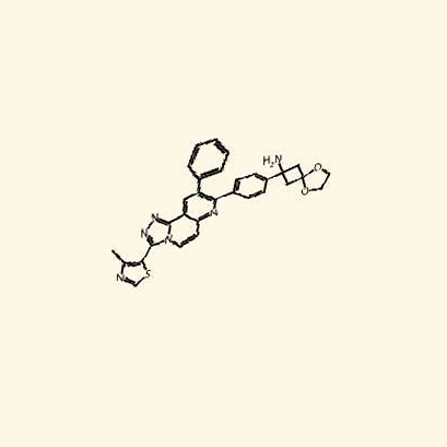 Cc1ncsc1-c1nnc2c3cc(-c4ccccc4)c(-c4ccc(C5(N)CC6(C5)OCCO6)cc4)nc3ccn12